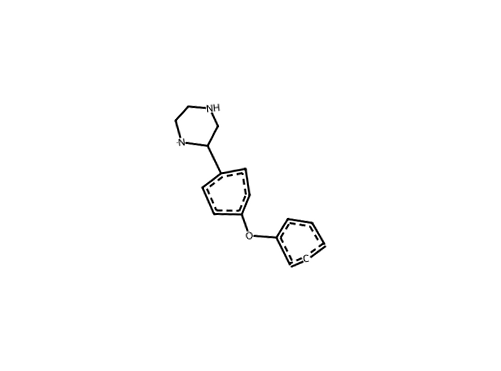 c1ccc(Oc2ccc(C3CNCC[N]3)cc2)cc1